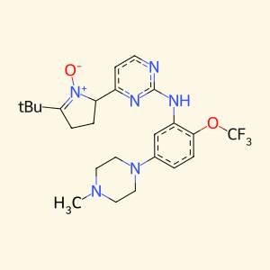 CN1CCN(c2ccc(OC(F)(F)F)c(Nc3nccc(C4CCC(C(C)(C)C)=[N+]4[O-])n3)c2)CC1